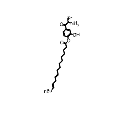 CCCC/C=C/C/C=C/CCCCCCCCC(=O)Oc1ccc(C(=O)C(N)C(C)C)cc1O